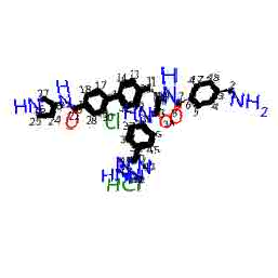 Cl.NC[C@H]1CC[C@H](C(=O)N[C@@H](Cc2ccc(-c3ccc(C(=O)N[C@@H]4CCNC4)cc3Cl)cc2)C(=O)Nc2ccc(-c3nn[nH]n3)cc2)CC1